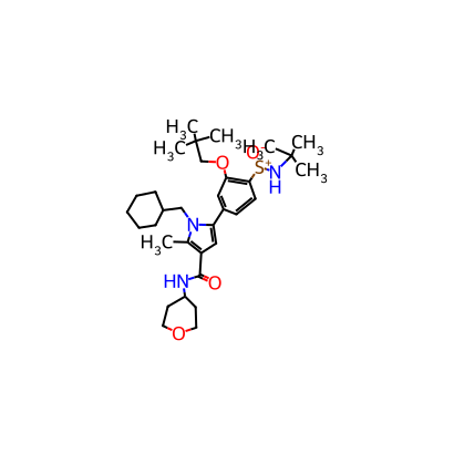 Cc1c(C(=O)NC2CCOCC2)cc(-c2ccc([S+]([O-])NC(C)(C)C)c(OCC(C)(C)C)c2)n1CC1CCCCC1